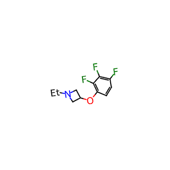 CCN1CC(Oc2ccc(F)c(F)c2F)C1